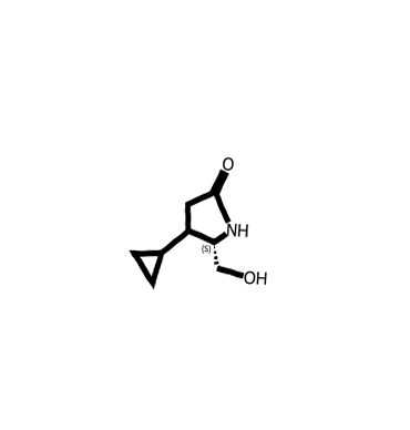 O=C1CC(C2CC2)[C@@H](CO)N1